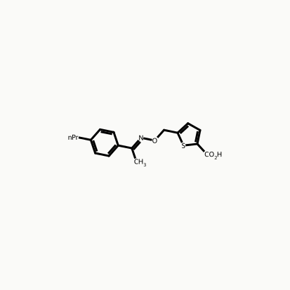 CCCc1ccc(C(C)=NOCc2ccc(C(=O)O)s2)cc1